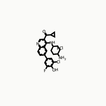 Cl.NC1CCC(Nc2c(C(=O)C3CC3)cnc3ccc(-c4cc(F)c(O)c(Cl)c4)cc23)CC1